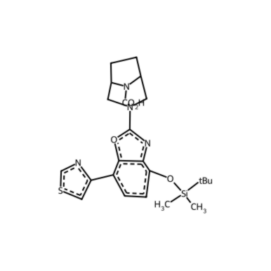 CC(C)(C)[Si](C)(C)Oc1ccc(-c2cscn2)c2oc(N3CC4CCC(C3)N4C(=O)O)nc12